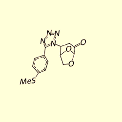 CSc1ccc(-c2nnnn2C2CC(=O)C3OCC2O3)cc1